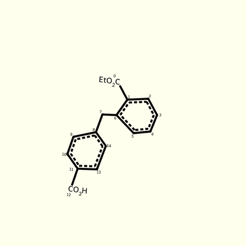 CCOC(=O)c1ccccc1Cc1c[c]c(C(=O)O)cc1